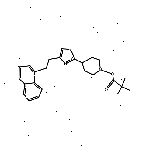 CC(C)(C)C(=O)ON1CCC(c2nc(CCc3cccc4ccccc34)cs2)CC1